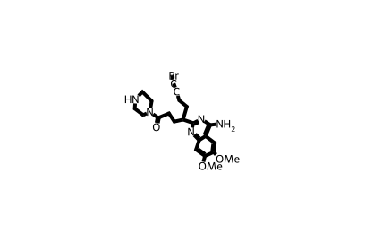 COc1cc2nc(C(CCCCBr)CCC(=O)N3CCNCC3)nc(N)c2cc1OC